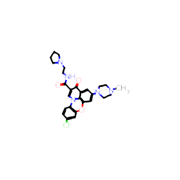 CN1CCN(c2cc3c4c(c2)c(=O)c(C(=O)NCCN2CCCC2)cn4-c2ccc(Cl)cc2O3)CC1